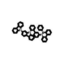 c1ccc(B2c3ccccc3-c3ccccc3N2c2cccc(-c3ccccc3-n3c4ccccc4c4ccc(-n5c6ccccc6c6ccccc65)cc43)c2)cc1